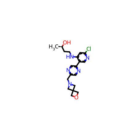 C[C@@H](O)CCNc1cc(Cl)ncc1-c1cnc(CN2CC3(COC3)C2)cn1